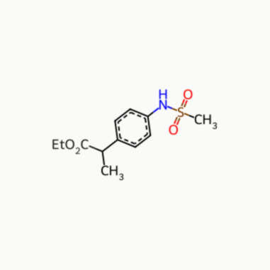 CCOC(=O)C(C)c1ccc(NS(C)(=O)=O)cc1